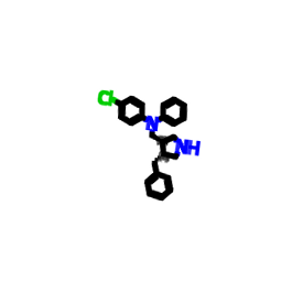 Clc1ccc(N(C[C@H]2CNC[C@@H]2Cc2ccccc2)c2ccccc2)cc1